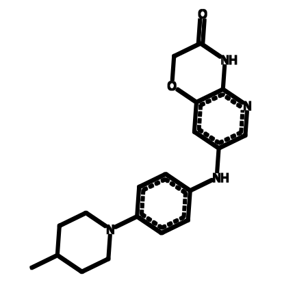 CC1CCN(c2ccc(Nc3cnc4c(c3)OCC(=O)N4)cc2)CC1